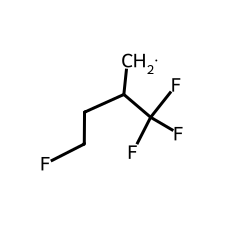 [CH2]C(CCF)C(F)(F)F